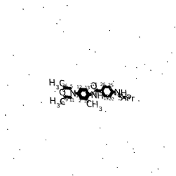 Cc1cc(N2C[C@@H](C)O[C@@H](C)C2)ccc1NC(=O)C1CCC(NSC(C)C)CC1